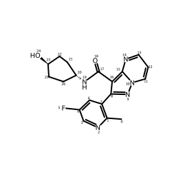 Cc1ncc(F)cc1-c1nn2cccnc2c1C(=O)N[C@H]1CC[C@H](O)CC1